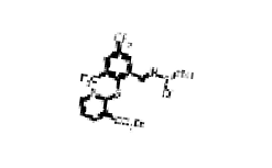 CCOC(=O)c1cccnc1Sc1c(/C=N/[S+]([O-])C(C)(C)C)cc(C(F)(F)F)cc1C(F)(F)F